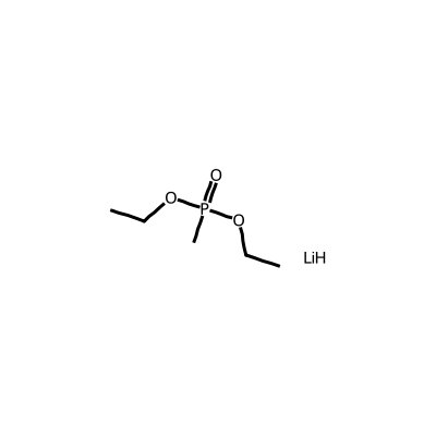 CCOP(C)(=O)OCC.[LiH]